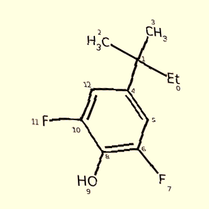 CCC(C)(C)c1cc(F)c(O)c(F)c1